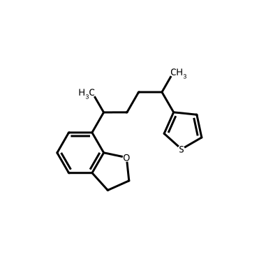 CC(CCC(C)c1cccc2c1OCC2)c1ccsc1